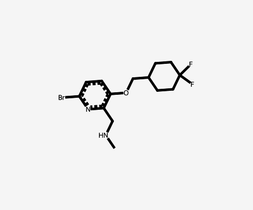 CNCc1nc(Br)ccc1OCC1CCC(F)(F)CC1